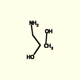 CO.NCCO